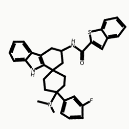 CN(C)C1(c2cccc(F)c2)CCC2(CC1)CC(NC(=O)c1cc3ccccc3s1)Cc1c2[nH]c2ccccc12